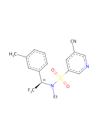 CCN([C@H](c1cccc(C)c1)C(F)(F)F)S(=O)(=O)c1cncc(C#N)c1